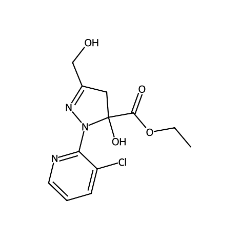 CCOC(=O)C1(O)CC(CO)=NN1c1ncccc1Cl